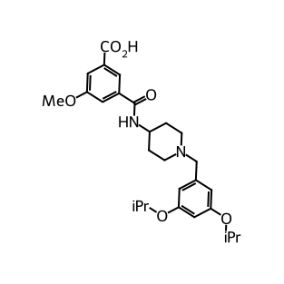 COc1cc(C(=O)O)cc(C(=O)NC2CCN(Cc3cc(OC(C)C)cc(OC(C)C)c3)CC2)c1